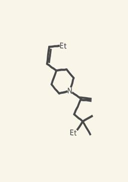 C=C(CC(C)(C)CC)N1CCC(/C=C\CC)CC1